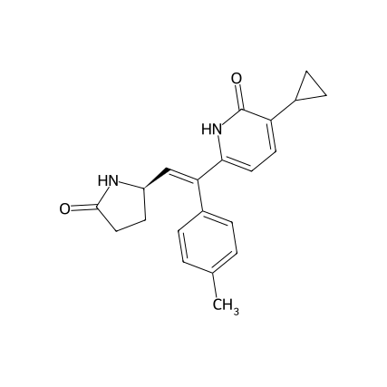 Cc1ccc(/C(=C\[C@H]2CCC(=O)N2)c2ccc(C3CC3)c(=O)[nH]2)cc1